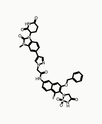 Cn1c(=O)n(C2CCC(=O)NC2=O)c2ccc(-c3cnn(CC(=O)Nc4ccc5c(F)c(N6CC(=O)NS6(=O)=O)c(OCc6ccccc6)cc5c4)c3)cc21